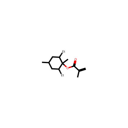 C=C(C)C(=O)OC1(C)C(CC)CC(C)CC1CC